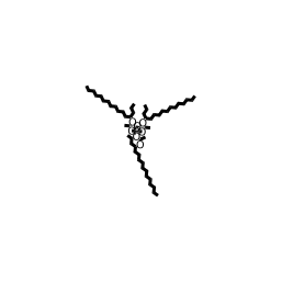 CCCCCCCCCCCCC(CCC)OC(C)OP(=O)(OC(C)OC(CCC)CCCCCCCCCCCC)OC(C)OC(CCC)CCCCCCCCCCCC